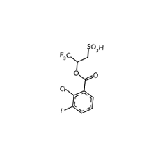 O=C(OC(CS(=O)(=O)O)C(F)(F)F)c1cccc(F)c1Cl